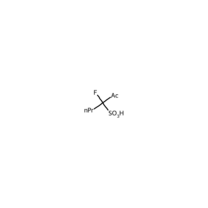 CCCC(F)(C(C)=O)S(=O)(=O)O